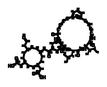 CC[C@H](C)[C@@H]1NC(=O)[C@H](CC(C)C)NC(=O)C2(CCN(C(=O)CN3CCN(CC=O)CCN(CC(=O)O)CCN(CC(=O)O)CC3)CC2)NC(=O)CCSCc2cccc(c2)CSCCNC1=O